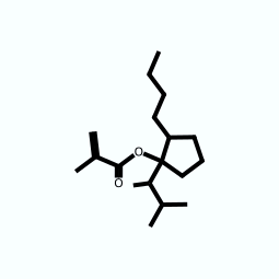 C=C(C)C(=O)OC1(C(C)C(C)C)CCCC1CCCC